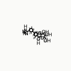 Cc1cc(-c2cccc(-c3nnn[nH]3)c2)ccc1[C@@H](O)[C@H]1OC(CO)[C@@H](O)C(O)C1O